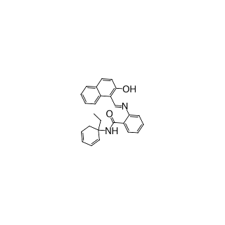 CCC1(NC(=O)c2ccccc2N=Cc2c(O)ccc3ccccc23)C=CC=CC1